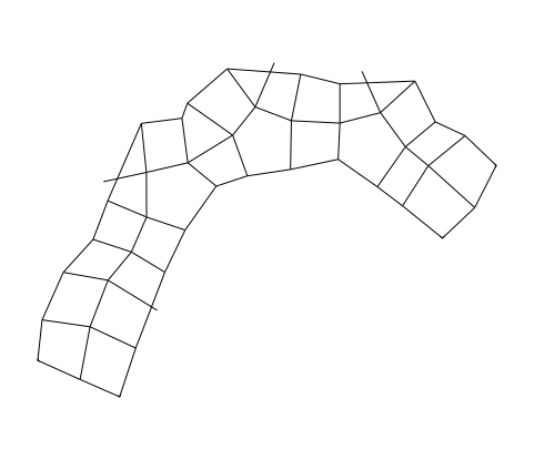 CC12C3C4CC5CC(C6C7C8C9C%10C%11C%12C%13CC%14CC%15C%16C%17C%18C%19C%20C%21C%22C%23C%24C3C61C%247C%23(C)C%228C%219C%20(C)C%19%10C%18%11C%17(C)C%16%12C%14%15%13)C542